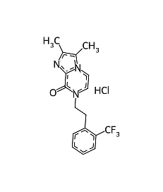 Cc1nc2c(=O)n(CCc3ccccc3C(F)(F)F)ccn2c1C.Cl